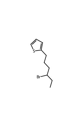 CCC(Br)CCCc1cccs1